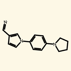 [N]=Cc1ccn(-c2ccc(N3CCCC3)cc2)c1